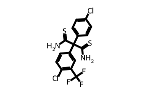 NC(=S)C(C(N)=S)(c1ccc(Cl)cc1)c1ccc(Cl)c(C(F)(F)F)c1